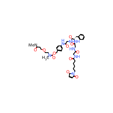 CNC(=O)CCOCCN(C)C(=O)OCc1ccc(NC(=O)CNC(=O)[C@H](Cc2ccccc2)NC(=O)CNC(=O)CNC(=O)CCCCCN2C(=O)C=CC2=O)cc1